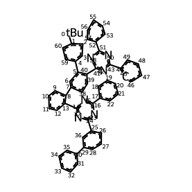 CC(C)(C)c1ccc(-c2cc(-c3ccccc3-c3nc(-c4ccccc4)nc(-c4cccc(-c5ccccc5)c4)n3)ccc2-c2nc(-c3ccccc3)nc(-c3ccccc3)n2)cc1